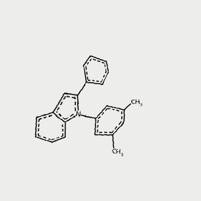 Cc1cc(C)cc(-n2c(-c3ccccc3)cc3ccccc32)c1